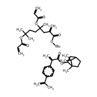 C=C(C)c1ccc(C(=C)C(=O)OC2CC3CCC2(C)C3(C)C)cc1.C=CC(=O)OC(C)(C)CCC(C)(CC(=C)C(=O)OC(C)(C)C)OC(=O)C=C